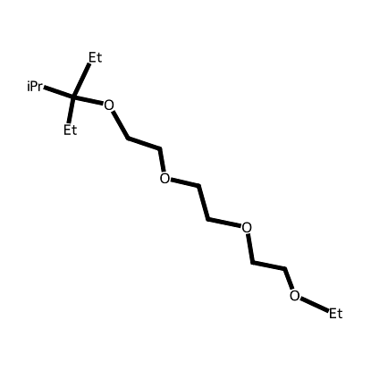 CCOCCOCCOCCOC(CC)(CC)C(C)C